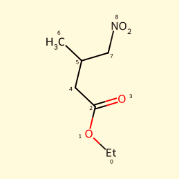 CCOC(=O)CC(C)C[N+](=O)[O-]